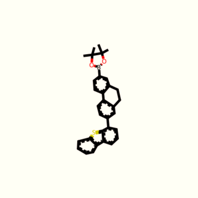 CC1(C)OB(c2ccc3c(c2)CCc2cc(-c4cccc5c4sc4ccccc45)ccc2-3)OC1(C)C